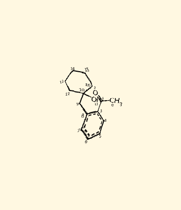 CC(=O)c1ccccc1CC1(O)CCCCC1